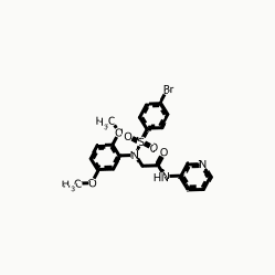 COc1ccc(OC)c(N(CC(=O)Nc2cccnc2)S(=O)(=O)c2ccc(Br)cc2)c1